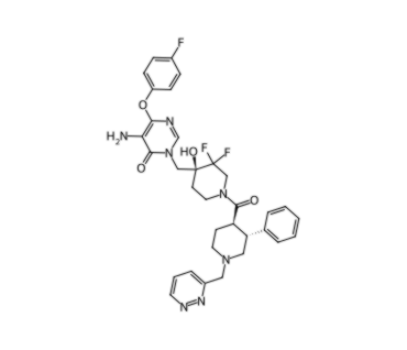 Nc1c(Oc2ccc(F)cc2)ncn(C[C@@]2(O)CCN(C(=O)[C@@H]3CCN(Cc4cccnn4)C[C@H]3c3ccccc3)CC2(F)F)c1=O